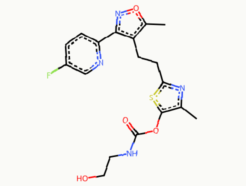 Cc1nc(CCc2c(-c3ccc(F)cn3)noc2C)sc1OC(=O)NCCO